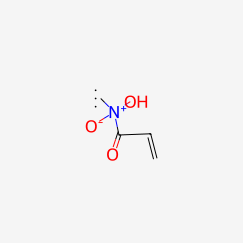 [C][N+]([O-])(O)C(=O)C=C